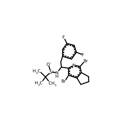 CC(C)(C)[S+]([O-])NC(Cc1cc(F)cc(F)c1)c1nc(Br)c2c(c1Br)CCC2